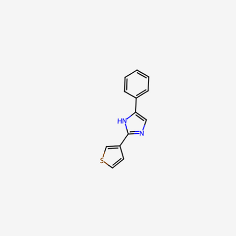 c1ccc(-c2cnc(-c3ccsc3)[nH]2)cc1